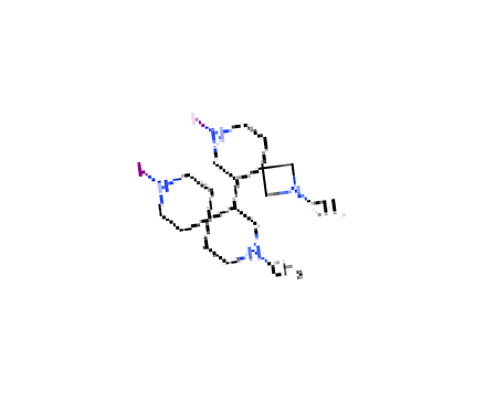 CN1CCC2(CCN(I)CC2)C(C2CN(I)CCC23CN(C)C3)C1